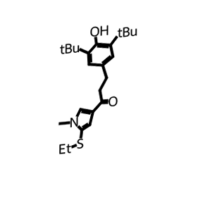 CCSc1cc(C(=O)CCc2cc(C(C)(C)C)c(O)c(C(C)(C)C)c2)cn1C